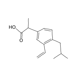 C=Cc1cc(C(C)C(=O)O)ccc1CC(C)C